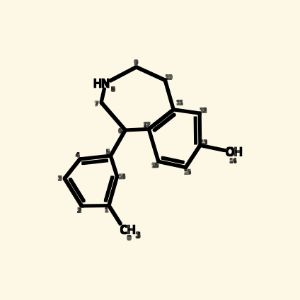 Cc1cccc(C2CNCCc3cc(O)ccc32)c1